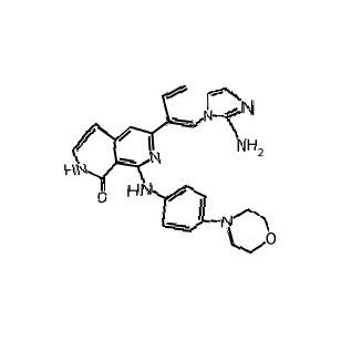 C=C/C(=C\n1ccnc1N)c1cc2cc[nH]c(=O)c2c(Nc2ccc(N3CCOCC3)cc2)n1